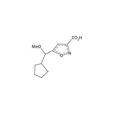 COC(c1cc(C(=O)O)no1)C1CCCC1